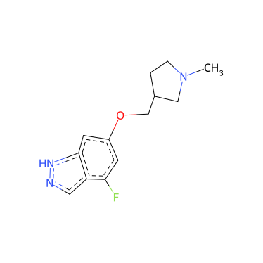 CN1CCC(COc2cc(F)c3cn[nH]c3c2)C1